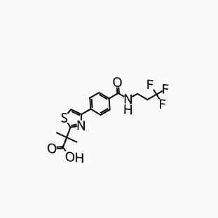 CC(C)(C(=O)O)c1nc(-c2ccc(C(=O)NCCC(F)(F)F)cc2)cs1